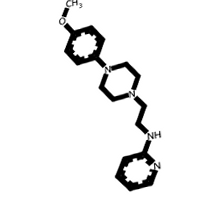 COc1ccc(N2CCN(CCNc3ccccn3)CC2)cc1